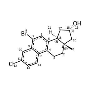 C[C@@]12CCc3c(cc(Br)c4cc(Cl)ccc34)[C@H]1C[C@H](O)C2